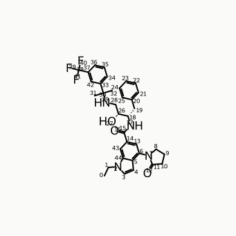 CCn1ccc2c(N3CCCC3=O)cc(C(=O)N[C@@H](Cc3ccccc3)[C@H](O)CNC(C)(C)c3cccc(C(F)(F)F)c3)cc21